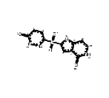 O=c1ccc(S(=O)(=O)c2cc3c(=O)[nH]ccc3o2)n[nH]1